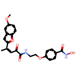 COc1ccc2oc(/C(C)=C\C(=O)C(=O)NCCOc3ccc(C(=O)NO)cc3)cc2c1